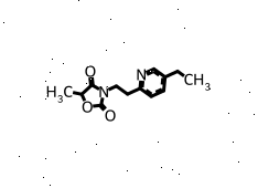 CCc1ccc(CCN2C(=O)OC(C)C2=O)nc1